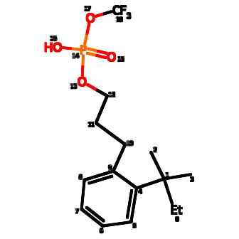 CCC(C)(C)c1ccccc1CCCOP(=O)(O)OC(F)(F)F